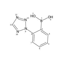 OB(O)c1ccccc1-n1ncnn1